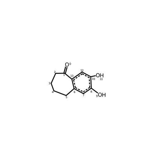 O=C1CCCCc2cc(O)c(O)cc21